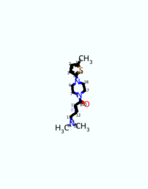 Cc1ccc(N2CCN(C(=O)/C=C/CN(C)C)CC2)s1